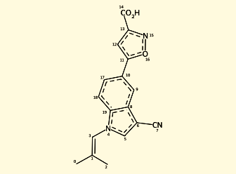 CC(C)=Cn1cc(C#N)c2cc(-c3cc(C(=O)O)no3)ccc21